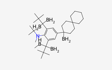 BC1(c2cc(C(B)(B)C(C)(C)C)c(N(C)C(C)(C)C)c(C(B)(BC)C(C)(C)C)c2)CCC2(CCCCC2)CC1